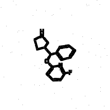 Fc1cccc(O[C@H](c2ccccc2)C2CCNC2)n1